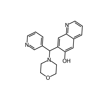 Oc1cc2cccnc2cc1C(c1cccnc1)N1CCOCC1